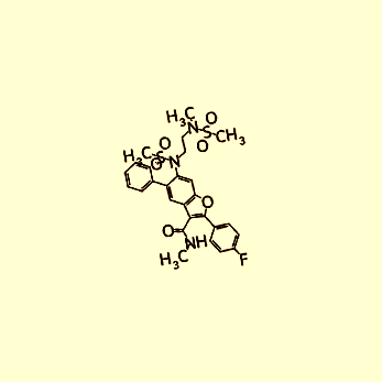 CNC(=O)c1c(-c2ccc(F)cc2)oc2cc(N(CCN(C)S(C)(=O)=O)S(C)(=O)=O)c(-c3ccccc3)cc12